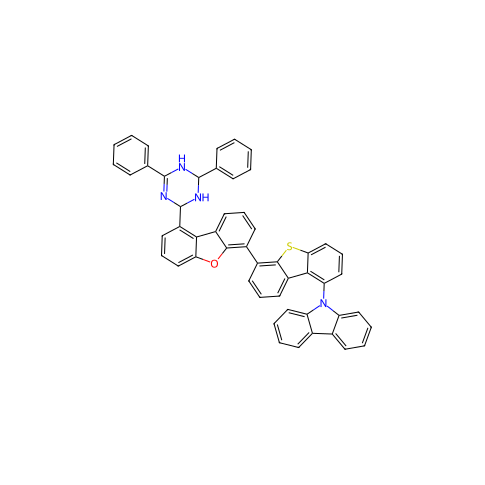 c1ccc(C2=NC(c3cccc4oc5c(-c6cccc7c6sc6cccc(-n8c9ccccc9c9ccccc98)c67)cccc5c34)NC(c3ccccc3)N2)cc1